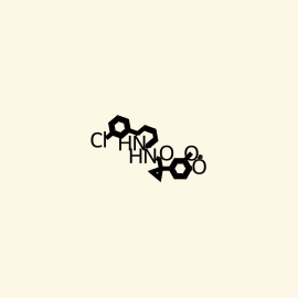 O=C(NC1=CC=CC(c2cccc(Cl)c2)N1)C1(c2ccc3c(c2)OCO3)CC1